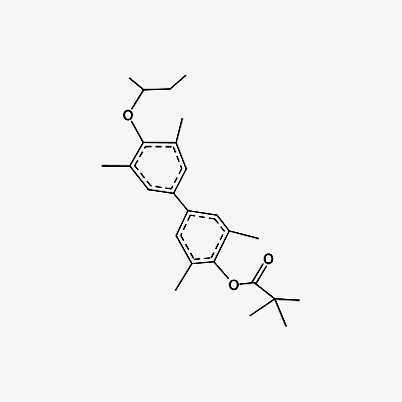 CCC(C)Oc1c(C)cc(-c2cc(C)c(OC(=O)C(C)(C)C)c(C)c2)cc1C